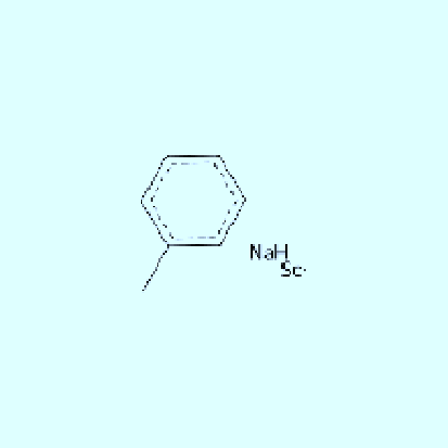 Cc1ccccc1.[NaH].[Sc]